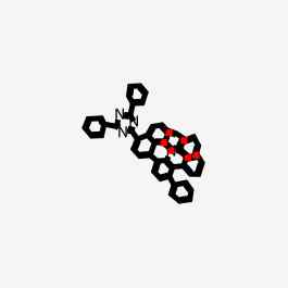 c1ccc(-c2nc(-c3ccccc3)nc(-c3ccc4c5c(cccc35)N(c3ccccc3)c3c-4ccc(-c4ccccc4)c3-c3ccccc3-c3ccccc3)n2)cc1